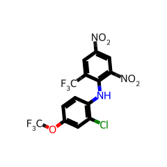 O=[N+]([O-])c1cc([N+](=O)[O-])c(Nc2ccc(OC(F)(F)F)cc2Cl)c(C(F)(F)F)c1